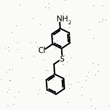 Nc1ccc(SCc2ccccc2)c(Cl)c1